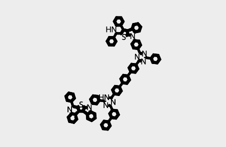 c1ccc(-c2cccc(C3=NC(c4ccc(-c5ccc(-c6ccc(-c7nc(-c8ccccc8)nc(-c8ccc(-n9c%10ccccc%10c%10c%11c(sc%109)C(c9ccccc9)Nc9ccccc9-%11)cc8)n7)cc6)cc5)cc4)NC(c4cccc(-n5c6ccccc6c6c7c(sc65)c(-c5ccccc5)nc5ccccc57)c4)=N3)c2)cc1